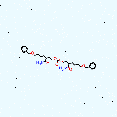 NC(=O)C(CCCCOCc1ccccc1)CCOC(=O)OCCC(CCCCOCc1ccccc1)C(N)=O